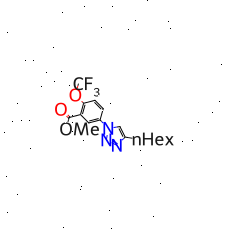 CCCCCCc1cn(-c2ccc(OC(F)(F)F)c(C(=O)OC)c2)nn1